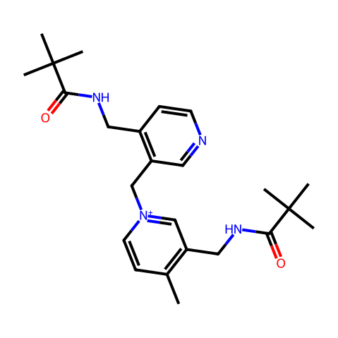 Cc1cc[n+](Cc2cnccc2CNC(=O)C(C)(C)C)cc1CNC(=O)C(C)(C)C